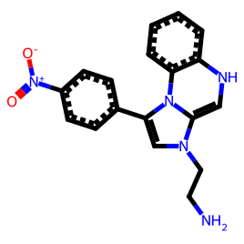 NCCN1C=C(c2ccc([N+](=O)[O-])cc2)N2C1=CNc1ccccc12